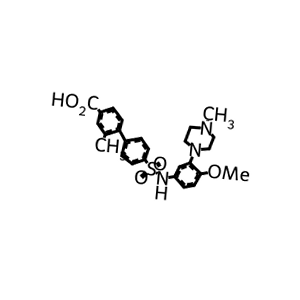 COc1ccc(NS(=O)(=O)c2ccc(-c3ccc(C(=O)O)cc3C)cc2)cc1N1CCN(C)CC1